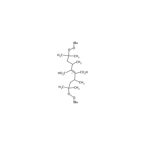 CC(CC(C)(C)OOC(C)(C)C)/C(C(=O)O)=C(\C(=O)O)C(C)CC(C)(C)OOC(C)(C)C